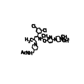 C=C(/C=C(\N=C(/C)Oc1ccc(N2CC[N+](C)(O)CC2)nc1)c1cc(Cl)cc(Cl)c1)CN1CCC(CNC(C)=O)CC1